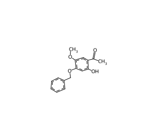 COc1cc(C(C)=O)c(O)cc1OCc1ccccc1